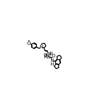 COc1ccc(CN2CCCC2/C=C/S(=O)(=O)NC(=O)Nc2c3c(cc4c2CCC4)CCC3)cc1